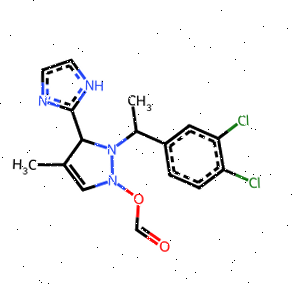 CC1=CN(OC=O)N(C(C)c2ccc(Cl)c(Cl)c2)C1c1ncc[nH]1